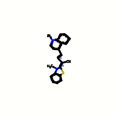 CC[n+]1ccc(/C=C/C(C#N)=C2/Sc3ccccc3N2C)c2ccccc21